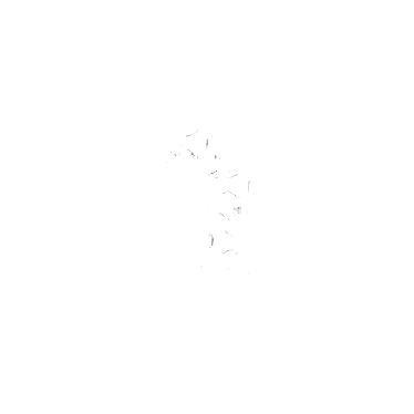 CC(C)(C)c1ccc(C(=O)Nc2cccc(C(=O)Nc3cccc(N)n3)c2)cc1